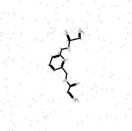 C=CC(=O)OCc1cccc(COC(=O)C=C)n1